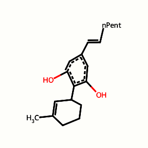 CCCCCC=Cc1cc(O)c(C2C=C(C)CCC2)c(O)c1